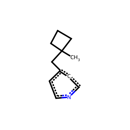 CC1(Cc2ccncc2)CCC1